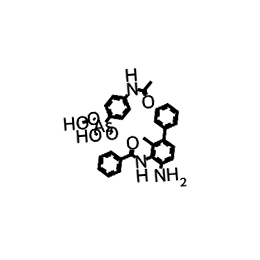 CC(=O)Nc1ccc([As](=O)(O)OO)cc1.Cc1c(-c2ccccc2)ccc(N)c1NC(=O)c1ccccc1